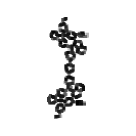 C=Cc1ccc(C2(c3ccc(C(C)(C)C)cc3)c3ccccc3-c3ccc(N(c4ccc(-c5ccc(-c6ccc(N(c7ccc8c(c7)C(c7ccc(C=C)cc7)(c7ccc(C(C)(C)C)cc7)c7ccccc7-8)c7cccc8ccccc78)cc6)cc5)cc4)c4cccc5ccccc45)cc32)cc1